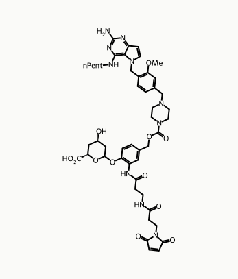 CCCCCNc1nc(N)nc2ccn(Cc3ccc(CN4CCN(C(=O)OCc5ccc(OC6C[C@H](O)C[C@H](C(=O)O)O6)c(NC(=O)CCNC(=O)CCN6C(=O)C=CC6=O)c5)CC4)cc3OC)c12